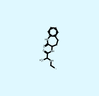 CC(NCI)C(=O)NC1CCc2ccccc2NC1=O